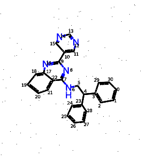 c1ccc(C(CNc2nc(-c3cncnc3)nc3ccccc23)c2ccccc2)cc1